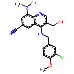 COc1ccc(CNc2c(CO)cnc3c(N(C)C)cc(C#N)cc23)cc1Cl